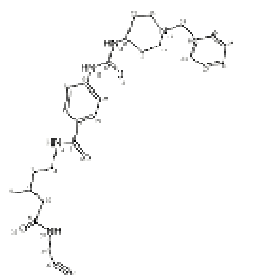 CC(CCNC(=O)c1ccc(NC(=O)NC2CCN(Cc3ccccc3)CC2)cc1)CC(=O)NCC#N